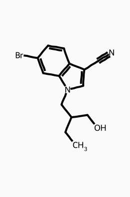 CCC(CO)Cn1cc(C#N)c2ccc(Br)cc21